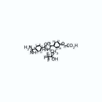 C[C@H](NC(=O)c1ccc(C(=N)N)cc1)C(=O)c1ccc(OCC(=O)O)cc1.O=C(O)C(F)(F)F